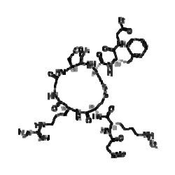 CCNCCCC[C@H](NC(=O)CSC)C(=O)N[C@H]1CSSC[C@@H](C(=O)N[C@@H](Cc2ccccc2)C(=O)NCC(=O)CC)NC(=O)[C@H](CC(=O)O)NC(=O)CNC(=O)[C@H](CCCNC(=N)N)NC1=O